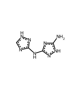 Nc1nc(Nc2nc[nH]n2)n[nH]1